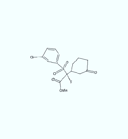 COC(=O)C(F)(C1CCCC(=O)C1)S(=O)(=O)c1cccc(Cl)c1